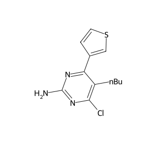 CCCCc1c(Cl)nc(N)nc1-c1ccsc1